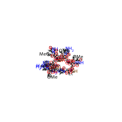 CC[C@H]1O[C@@H](n2cc(C)c(N)nc2=O)CC1OP(=O)(S)OC[C@H]1O[C@@H](n2cc(C)c(=O)[nH]c2=O)[C@@H](OCCOC)C1OP(=O)(O)OC[C@H]1O[C@@H](n2cc(C)c(N)nc2=O)[C@@H](OCCOC)C1OP(=O)(O)OC[C@H]1O[C@@H](n2cc(C)c(=O)[nH]c2=O)[C@@H](OCCOC)C1OP(=O)(S)OC[C@H]1O[C@@H](n2cnc3c(N)ncnc32)[C@@H](OCCOC)C1OP(=O)(S)OC[C@H]1O[C@@H](n2cc(C)c(N)nc2=O)[C@@H](OCCOC)C1O